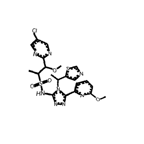 COc1cccc(-c2nnc(NS(=O)(=O)C(C)C(OC)c3ncc(Cl)cn3)n2C(C)c2cncs2)n1